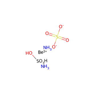 N.N.O=S(=O)(O)O.O=S(=O)([O-])[O-].[Be+2]